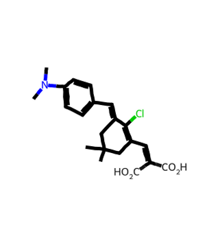 CN(C)c1ccc(/C=C2\CC(C)(C)CC(C=C(C(=O)O)C(=O)O)=C2Cl)cc1